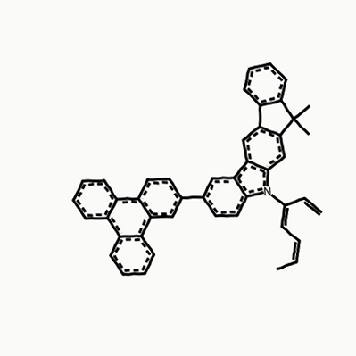 C=C/C(=C\C=C/C)n1c2ccc(-c3ccc4c5ccccc5c5ccccc5c4c3)cc2c2cc3c(cc21)C(C)(C)c1ccccc1-3